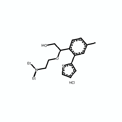 CCN(CC)CCOC(CO)c1ccc(C)cc1-c1cccs1.Cl